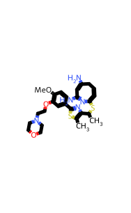 COc1ccc(-c2nc(C(C)SC3=C=CC/C(N)=C\C(N)=N/3)c(C)s2)cc1OCCN1CCOCC1